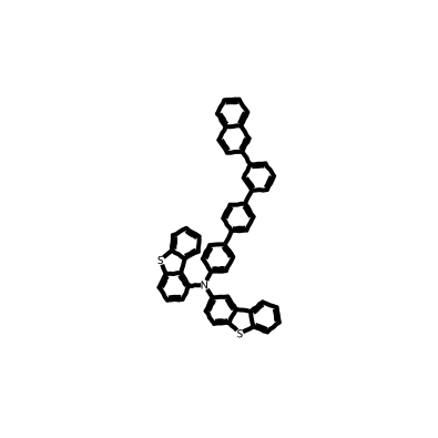 c1cc(-c2ccc(-c3ccc(N(c4ccc5sc6ccccc6c5c4)c4cccc5sc6ccccc6c45)cc3)cc2)cc(-c2ccc3ccccc3c2)c1